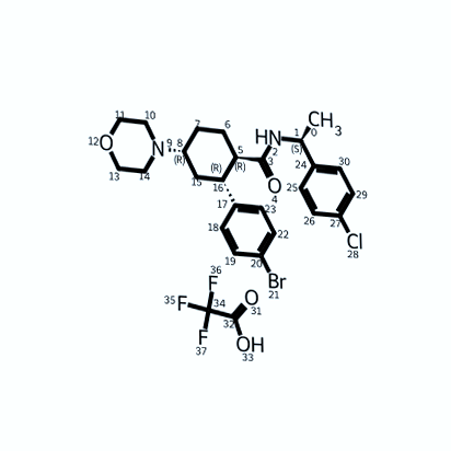 C[C@H](NC(=O)[C@@H]1CC[C@@H](N2CCOCC2)C[C@H]1c1ccc(Br)cc1)c1ccc(Cl)cc1.O=C(O)C(F)(F)F